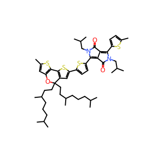 Cc1ccc(C2=C3C(=O)N(CC(C)C)C(c4ccc(-c5cc6c(s5)-c5sc(C)cc5OC6(CCC(C)CCCC(C)C)CCC(C)CCCC(C)C)s4)=C3C(=O)N2CC(C)C)s1